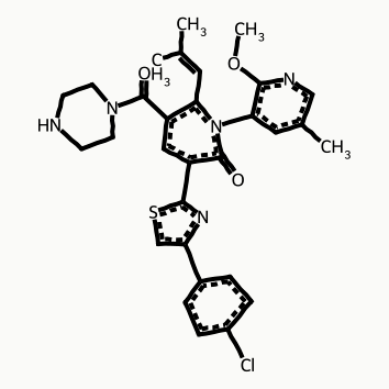 COc1ncc(C)cc1-n1c(C=C(C)C)c(C(=O)N2CCNCC2)cc(-c2nc(-c3ccc(Cl)cc3)cs2)c1=O